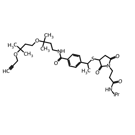 C#CCOC(C)(C)CCOC(C)(C)CCNC(=O)c1ccc(C(C)SC2CC(=O)N(CCC(=O)NC(C)C)C2=O)cc1